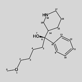 COCCCC[C@@](O)(c1ccccc1)C1CCCNC1